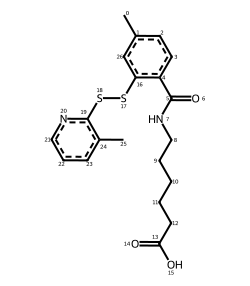 Cc1ccc(C(=O)NCCCCCC(=O)O)c(SSc2ncccc2C)c1